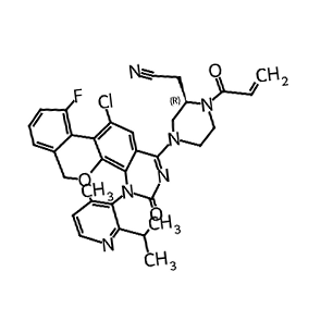 C=CC(=O)N1CCN(c2nc(=O)n(-c3c(C)ccnc3C(C)C)c3c4c(c(Cl)cc23)-c2c(F)cccc2CO4)C[C@H]1CC#N